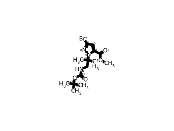 COC(=O)c1cc(Br)nn1C(C)(C)CNC(=O)OC(C)(C)C